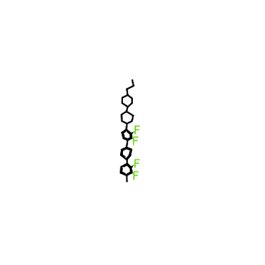 CCCC1CCC(C2CCC(c3ccc(-c4ccc(-c5ccc(C)c(F)c5F)cc4)c(F)c3F)CC2)CC1